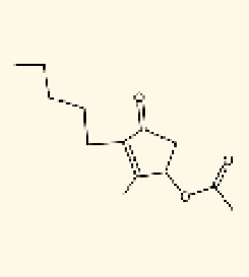 CCCCCC1=C(C)C(OC(C)=O)CC1=O